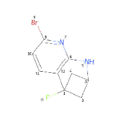 FC12CC(C1)Nc1nc(Br)ccc12